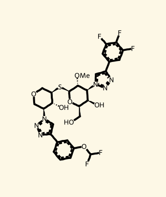 CO[C@@H]1[C@@H](n2cc(-c3cc(F)c(F)c(F)c3)nn2)[C@@H](O)[C@@H](CO)O[C@H]1S[C@@H]1COC[C@H](n2cc(-c3cccc(OC(F)F)c3)nn2)[C@H]1O